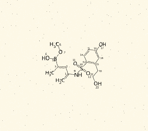 C=C(/C=C(\C)B(O)OC)NS(=O)(=O)c1ccc(O)cc1CCO